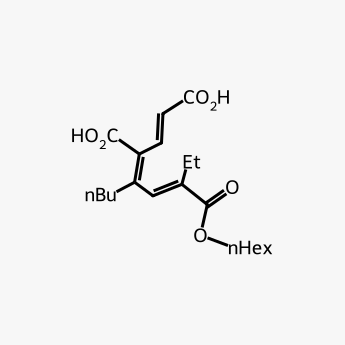 CCCCCCOC(=O)C(=CC(CCCC)=C(C=CC(=O)O)C(=O)O)CC